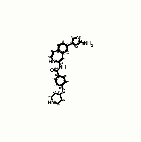 Nc1ncc(-c2ccc3c(c2)C=C(NC(=O)c2ccc(OC4CCNCC4)cc2)NC=C3)s1